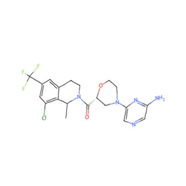 CC1c2c(Cl)cc(C(F)(F)F)cc2CCN1C(=O)[C@H]1CN(c2cncc(N)n2)CCO1